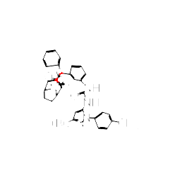 Cc1ccc(-n2nc(C(C)(C)C)cc2NC(=O)Nc2cccc(CC3CC4CCC(C3)N4S(=O)(=O)Cc3ccccc3)c2)cc1